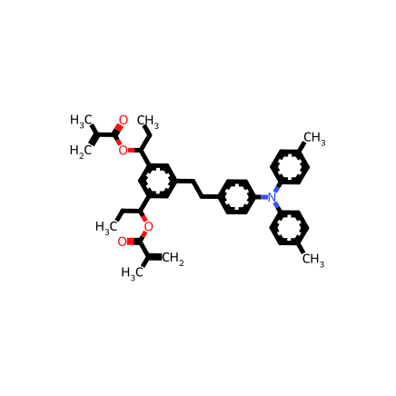 C=C(C)C(=O)OC(CC)c1cc(CCc2ccc(N(c3ccc(C)cc3)c3ccc(C)cc3)cc2)cc(C(CC)OC(=O)C(=C)C)c1